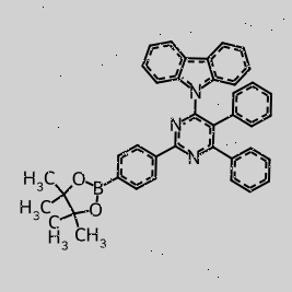 CC1(C)OB(c2ccc(-c3nc(-c4ccccc4)c(-c4ccccc4)c(-n4c5ccccc5c5ccccc54)n3)cc2)OC1(C)C